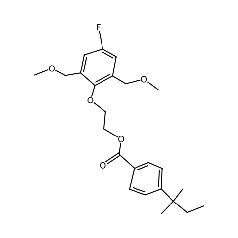 CCC(C)(C)c1ccc(C(=O)OCCOc2c(COC)cc(F)cc2COC)cc1